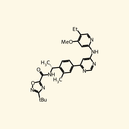 CCc1cnc(Nc2cc(-c3ccc([C@@H](C)NC(=O)c4nc(C(C)(C)C)no4)c(C)c3)ncn2)cc1OC